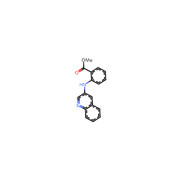 COC(=O)c1ccccc1Nc1cnc2ccccc2c1